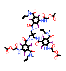 C=CCN(C)C(=O)c1c(I)c(NC(=O)COC(C)=O)c(I)c(C(=O)NCC(C)(CNC(=O)c2c(I)c(NC(=O)COC(C)=O)c(I)c(C(=O)N(C)CC=C)c2I)CNC(=O)c2c(I)c(NC(=O)COC(C)=O)c(I)c(C(=O)N(C)CC=C)c2I)c1I